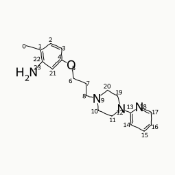 Cc1ccc(OCCCN2CCN(c3ccccn3)CC2)cc1N